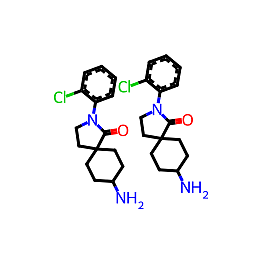 NC1CCC2(CC1)CCN(c1ccccc1Cl)C2=O.NC1CCC2(CC1)CCN(c1ccccc1Cl)C2=O